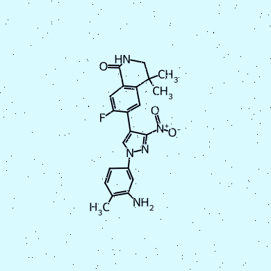 Cc1ccc(-n2cc(-c3cc4c(cc3F)C(=O)NCC4(C)C)c([N+](=O)[O-])n2)cc1N